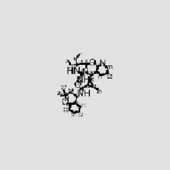 CCC1(CC)CC(=O)N(C(c2cccnc2)C2C(C)C2C(=O)N[C@@H]2CC(C)(C)Oc3ccccc32)C(=N)N1